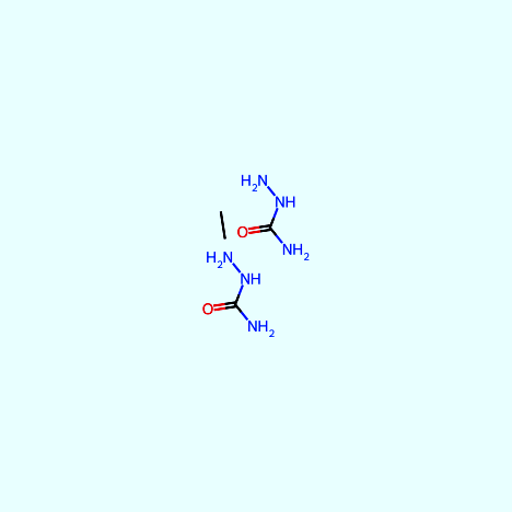 CC.NNC(N)=O.NNC(N)=O